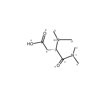 CN(C)C(=O)[C@H](CC(=O)O)N(C)C